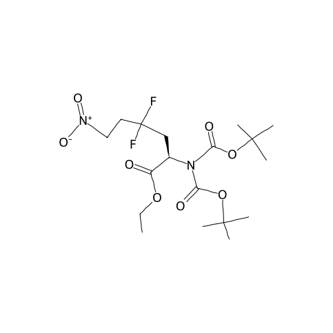 CCOC(=O)[C@@H](CC(F)(F)CC[N+](=O)[O-])N(C(=O)OC(C)(C)C)C(=O)OC(C)(C)C